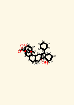 O=C(O)c1ccc2c(c1)CC[C@@H]1C[C@@](O)(c3ccccc3)C(=Cc3ccccc3)C[C@@]21Cc1ccccc1